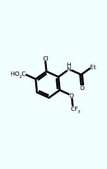 CCC(=O)Nc1c(OC(F)(F)F)ccc(C(=O)O)c1Cl